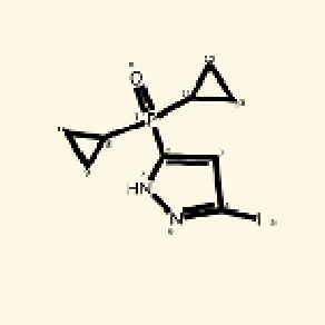 O=P(c1cc(I)n[nH]1)(C1CC1)C1CC1